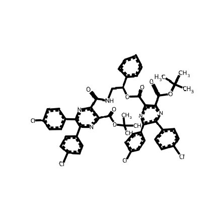 CC(C)(C)OC(=O)c1nc(-c2ccc(Cl)cc2)c(-c2ccc(Cl)cc2)nc1C(=O)NCC(OC(=O)c1nc(-c2ccc(Cl)cc2)c(-c2ccc(Cl)cc2)nc1C(=O)OC(C)(C)C)c1ccccc1